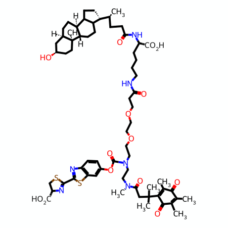 CC1=C(C)C(=O)C(C(C)(C)CC(=O)N(C)CCN(CCOCCOCCC(=O)NCCCCC(NC(=O)CC[C@@H](C)[C@H]2CCC3C2CC[C@H]2[C@H]3CC[C@@H]3C[C@H](O)CC[C@@]32C)C(=O)O)C(=O)Oc2ccc3nc(C4=NC(C(=O)O)CS4)sc3c2)=C(C)C1=O